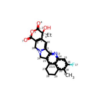 CC[C@@]1(O)C(=O)OC(=O)C2=C1C=C1c3nc4cc(F)c(C)c5c4c(c3CN1C2)CCC5